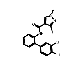 Cn1cc(C(=O)Nc2ccccc2-c2ccc(Cl)c(Cl)c2)c(I)n1